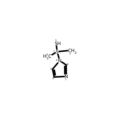 CS(C)(S)n1ccnc1